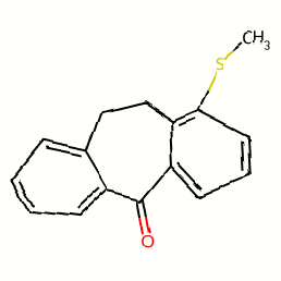 CSc1cccc2c1CCc1ccccc1C2=O